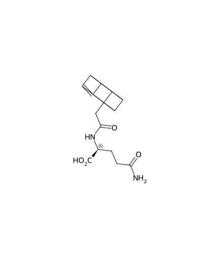 NC(=O)CC[C@H](NC(=O)CC12C3=C4C5C3C1C5C42)C(=O)O